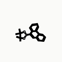 CC1(C)OB(c2cc3ccccc3c3ccccc23)OC1(C)C